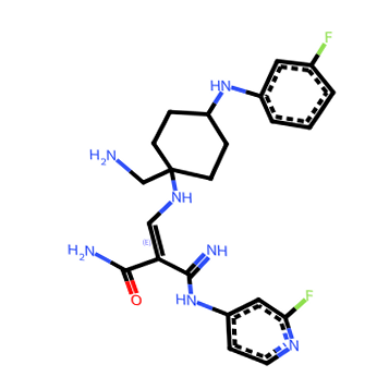 N=C(Nc1ccnc(F)c1)/C(=C\NC1(CN)CCC(Nc2cccc(F)c2)CC1)C(N)=O